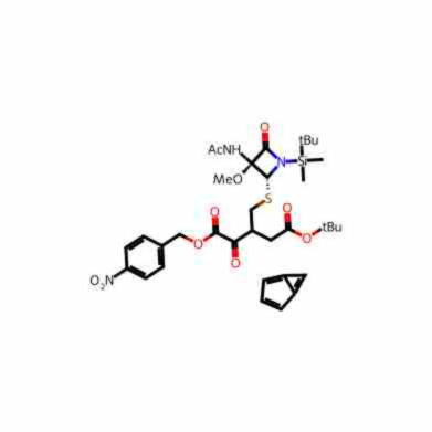 CO[C@@]1(NC(C)=O)C(=O)N([Si](C)(C)C(C)(C)C)[C@@H]1SCC(CC(=O)OC(C)(C)C)C(=O)C(=O)OCc1ccc([N+](=O)[O-])cc1.c1cc2cc-2c1